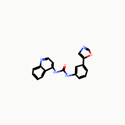 O=C(Nc1cccc(-c2cnco2)c1)Nc1ccnc2ccccc12